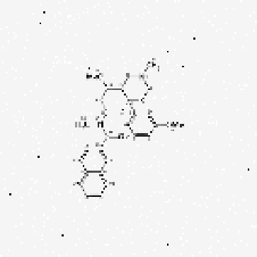 COc1cccc(C23CCN(C)CC2C(OC)CC(N(C)C(=O)c2ccc4ccccc4c2)C3)c1